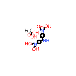 CC(O)C(=O)O.N=C(c1ccc(N(CCO)CCO)cc1)c1ccc(N(CCO)CCO)cc1